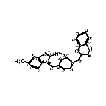 Cc1ccc2c(c1)SC(N)N2CC1CCN(CC2COc3ccccc3O2)CC1